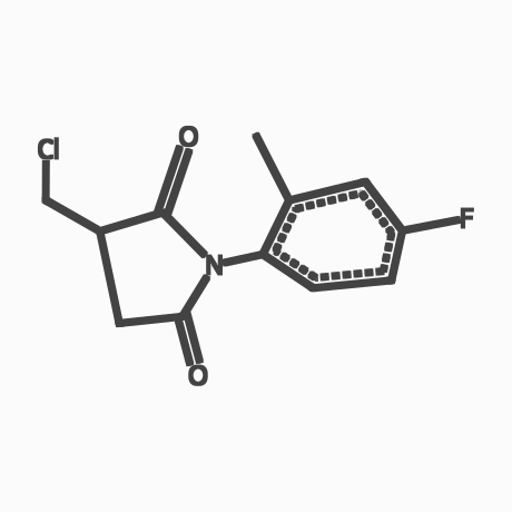 Cc1cc(F)ccc1N1C(=O)CC(CCl)C1=O